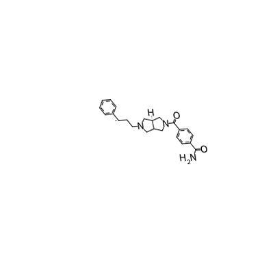 NC(=O)c1ccc(C(=O)N2CC3CN(CC[CH]c4ccccc4)C[C@H]3C2)cc1